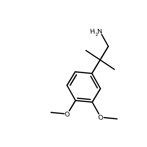 COc1ccc(C(C)(C)CN)cc1OC